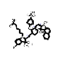 CN1/C(=C/C=C2\CCCC(/C=C/C3=[N+](CCCCCC(=O)O)c4ccc(F)cc4C3(C)C)=C2Oc2ccc(S(=O)(=O)O)cc2)C(C)(C)c2c1ccc1ccccc21